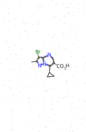 Cc1nn2c(C3CC3)c(C(=O)O)cnc2c1Br